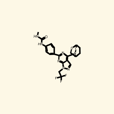 CNC(=O)Nc1ccc(-c2nc(N3CC4CCC3CO4)c3cnn(CC(F)(F)F)c3n2)cc1